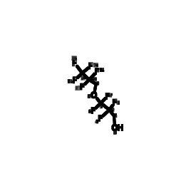 OCC(F)(F)C(F)(F)OCC(F)(F)C(F)(F)F